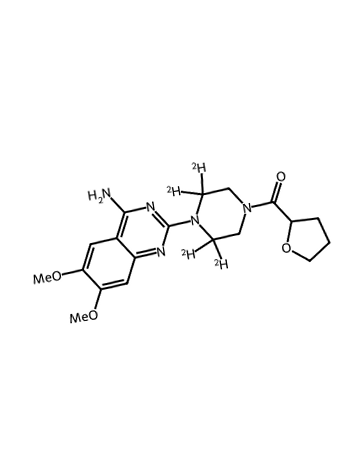 [2H]C1([2H])CN(C(=O)C2CCCO2)CC([2H])([2H])N1c1nc(N)c2cc(OC)c(OC)cc2n1